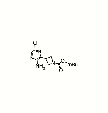 CCCCOC(=O)N1CC(c2nc(Cl)cnc2N)C1